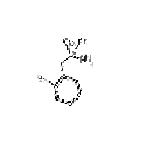 CCOC(=O)[C@@H](N)Cc1ccccc1Br